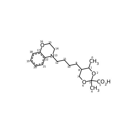 CC1OC(C)(C(=O)O)OCC1CCCCN1CCOc2ccccc21